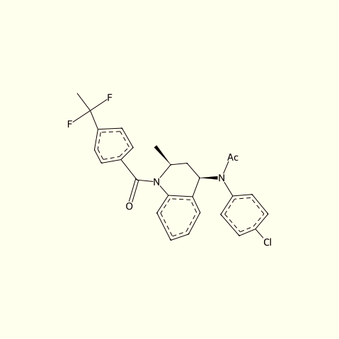 CC(=O)N(c1ccc(Cl)cc1)[C@@H]1C[C@H](C)N(C(=O)c2ccc(C(C)(F)F)cc2)c2ccccc21